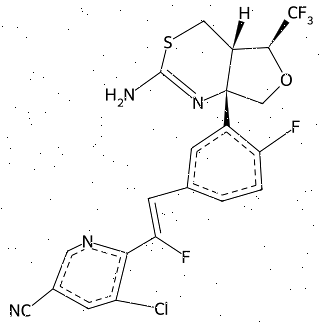 N#Cc1cnc(/C(F)=C/c2ccc(F)c([C@]34CO[C@H](C(F)(F)F)[C@H]3CSC(N)=N4)c2)c(Cl)c1